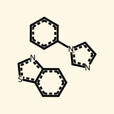 c1ccc(-n2ccnc2)cc1.c1ccc2scnc2c1